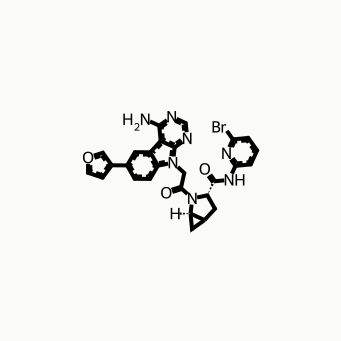 Nc1ncnc2c1c1cc(-c3ccoc3)ccc1n2CC(=O)N1[C@@H]2CC2C[C@H]1C(=O)Nc1cccc(Br)n1